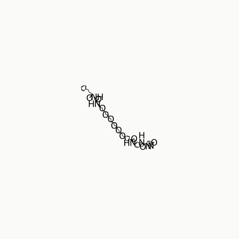 Cn1nc(C2Nc3cc(NC(=O)c4ccc(OCCOCCOCCOCCOCCOCCNC(=O)CNC(=O)CCCc5ccccc5)cc4)ccc3O2)ccc1=O